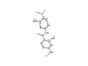 CNc1ccc(C(=O)Nc2ccc(C(C)=O)c(O)c2)c(O)c1